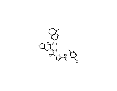 Cc1ncc(Cl)cc1N[C@@H](C)c1ccc(C(=O)N[C@@H](CC2CCCC2)C(=O)Nc2ccc3c(c2)CCCN3C)s1